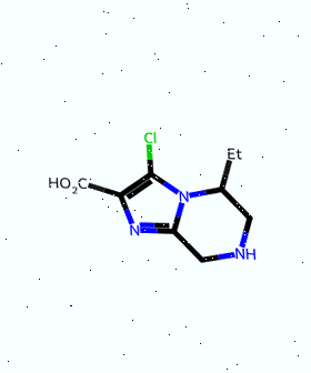 CCC1CNCc2nc(C(=O)O)c(Cl)n21